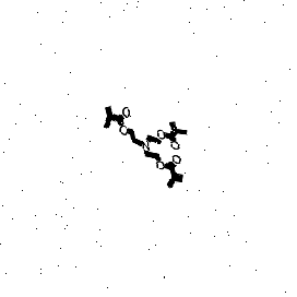 CC(C)C(=O)OCCN(CCOC(=O)C(C)C)CCOC(=O)C(C)C